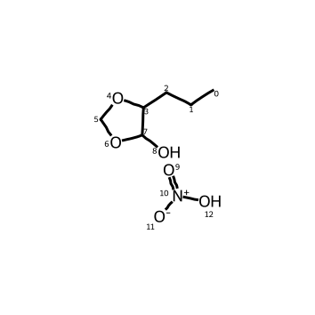 CCCC1OCOC1O.O=[N+]([O-])O